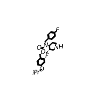 CC(C)Oc1ccc(COC(=O)N(Cc2ccc(F)cc2)[C@@H]2CCNC[C@@H]2CF)cc1